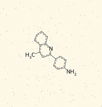 Cc1cc(-c2ccc(N)cc2)nc2ccccc12